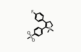 C[Si]1(C)CCC(c2ccc(F)cc2)=C1c1ccc(S(C)(=O)=O)cc1